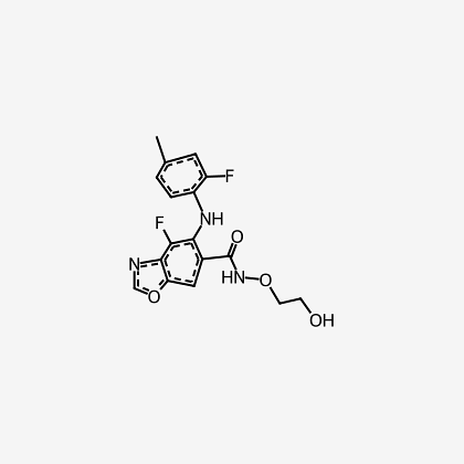 Cc1ccc(Nc2c(C(=O)NOCCO)cc3ocnc3c2F)c(F)c1